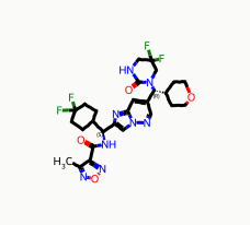 Cc1nonc1C(=O)N[C@H](c1cn2ncc([C@@H](C3CCOCC3)N3CC(F)(F)CNC3=O)cc2n1)C1CCC(F)(F)CC1